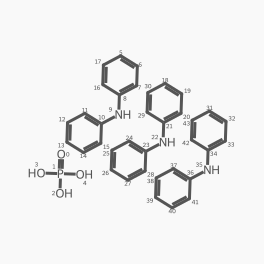 O=P(O)(O)O.c1ccc(Nc2ccccc2)cc1.c1ccc(Nc2ccccc2)cc1.c1ccc(Nc2ccccc2)cc1